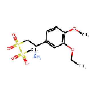 CCOc1cc([C@H](N)CS(=O)(=O)S(C)(=O)=O)ccc1OC